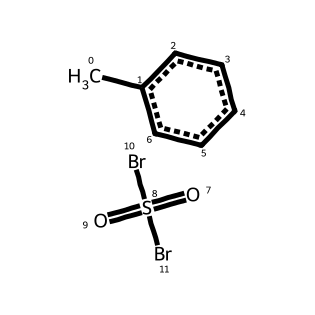 Cc1ccccc1.O=S(=O)(Br)Br